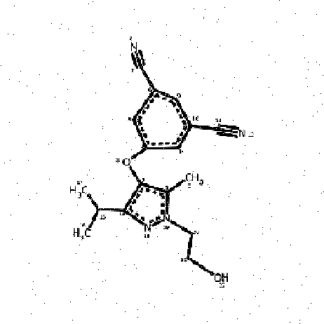 Cc1c(Oc2cc(C#N)cc(C#N)c2)c(C(C)C)nn1CCO